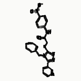 O=C(CSc1nnc(-c2cccnc2)n1Cc1ccccc1)Nc1ccc([N+](=O)[O-])cc1